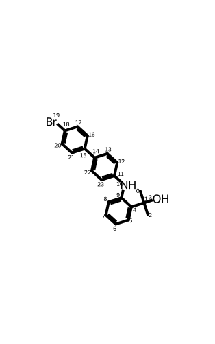 CC(C)(O)c1ccccc1Nc1ccc(-c2ccc(Br)cc2)cc1